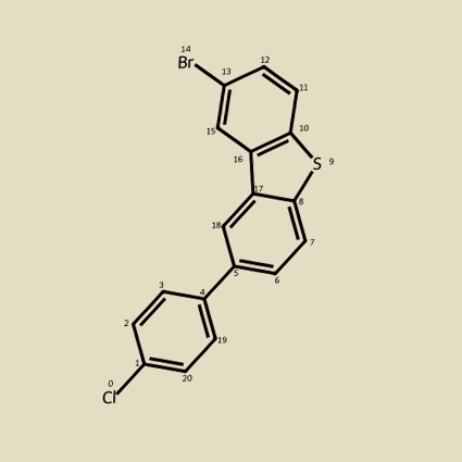 Clc1ccc(-c2ccc3sc4ccc(Br)cc4c3c2)cc1